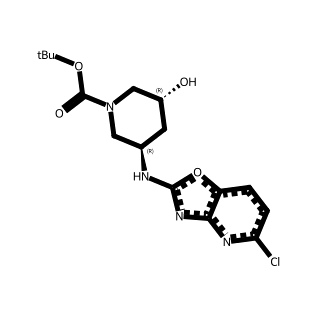 CC(C)(C)OC(=O)N1C[C@H](O)C[C@@H](Nc2nc3nc(Cl)ccc3o2)C1